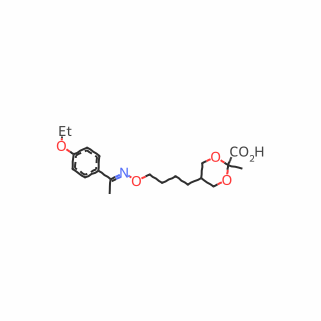 CCOc1ccc(C(C)=NOCCCCC2COC(C)(C(=O)O)OC2)cc1